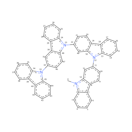 Cn1c2ccccc2c2ccc(-n3c4ccccc4c4ccc(-n5c6ccccc6c6cc(-n7c8ccccc8c8ccccc87)ccc65)cc43)cc21